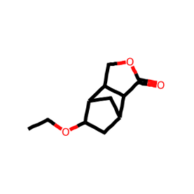 CCOC1CC2CC1C1COC(=O)C21